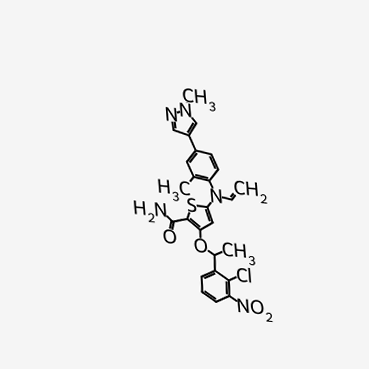 C=CN(c1cc(OC(C)c2cccc([N+](=O)[O-])c2Cl)c(C(N)=O)s1)c1ccc(-c2cnn(C)c2)cc1C